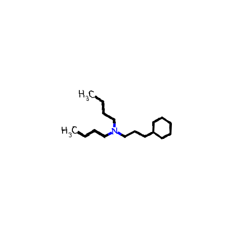 CCCCN(CCCC)CCCC1CCCCC1